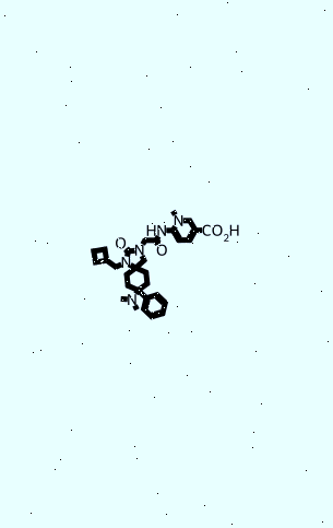 CN1CC(C(=O)O)=CC=C1NC(=O)CN1CC2(CCC(c3ccccc3)(N(C)C)CC2)N(CC2CCC2)C1=O